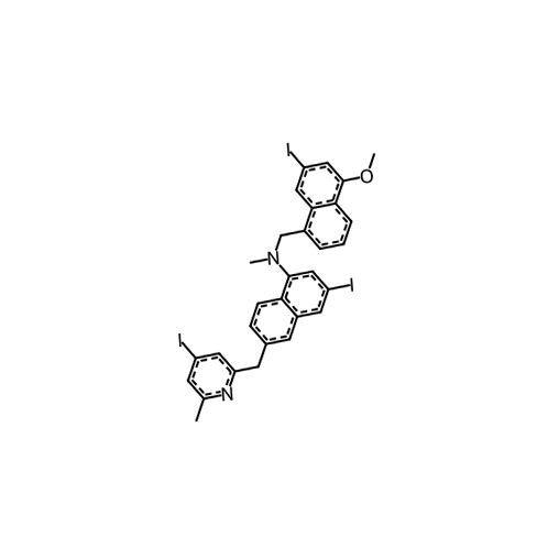 COc1cc(I)cc2c(CN(C)c3cc(I)cc4cc(Cc5cc(I)cc(C)n5)ccc34)cccc12